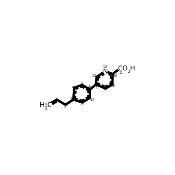 C=CCc1ccc(-c2ccc(C(=O)O)nc2)cc1